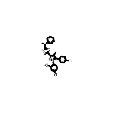 Cc1c(-c2nnc(C(C)c3ccccc3)s2)nn(-c2ccc(Cl)cc2Cl)c1-c1ccc(Cl)cc1